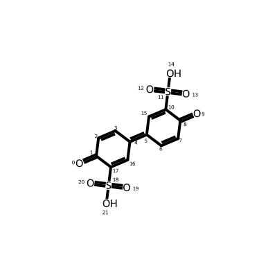 O=C1C=C/C(=C2/C=CC(=O)C(S(=O)(=O)O)=C2)C=C1S(=O)(=O)O